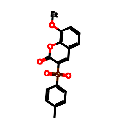 CCOc1cccc2cc(S(=O)(=O)c3ccc(C)cc3)c(=O)oc12